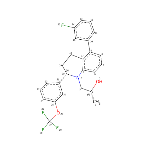 C[C@@H](O)CN1c2cccc(-c3cccc(F)c3)c2CC[C@H]1c1cccc(OC(F)(F)F)c1